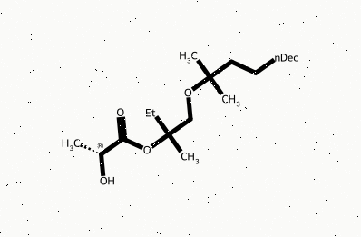 CCCCCCCCCCCCC(C)(C)OCC(C)(CC)OC(=O)[C@@H](C)O